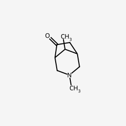 CC1C2CC(=O)C1CN(C)C2